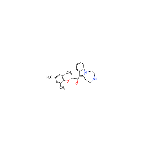 Cc1cc(C)c(OCC(=O)c2c3n(c4ccccc24)CCNCC3)c(C)c1